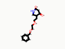 O=C1CC(=O)C(CCOCCOCc2ccccc2)CN1